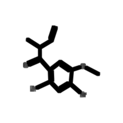 C=CC(C)C(=O)c1cc(OC)c(Br)cc1Br